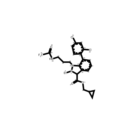 CCN1C(C(=O)OCC2CC2)c2cccc(-c3ccc(Cl)cc3Cl)c2N1CCCNC(=O)C(F)(F)F